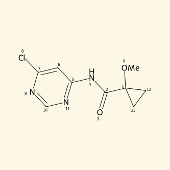 COC1(C(=O)Nc2cc(Cl)ncn2)CC1